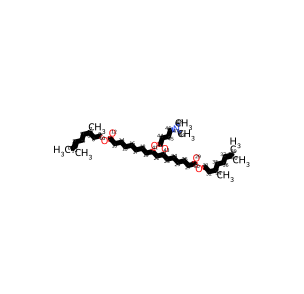 CC(C)=CCCC(C)CCOC(=O)CCCCCCCC(CCCCCCCC(=O)OCCC(C)CCC=C(C)C)OC(=O)CCCN(C)C